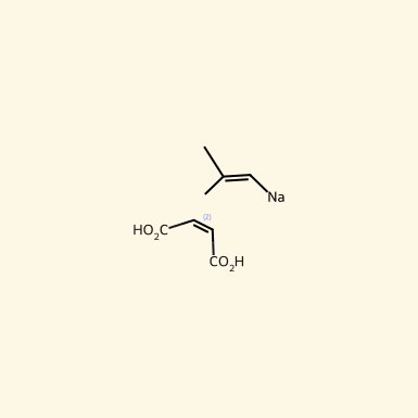 CC(C)=[CH][Na].O=C(O)/C=C\C(=O)O